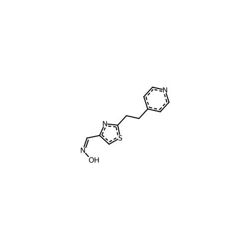 O/N=C\c1csc(CCc2ccncc2)n1